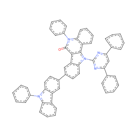 O=c1c2c3cc(-c4ccc5c(c4)c4ccccc4n5-c4ccccc4)ccc3n(-c3nc(-c4ccccc4)cc(-c4ccccc4)n3)c2c2ccccc2n1-c1ccccc1